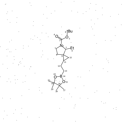 CCC1N(C(=O)OC(C)(C)C)CCC12CC2CCB1OC(C)(C)C(C)(C)O1